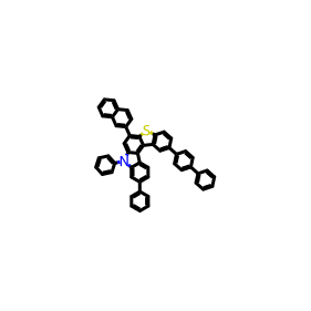 c1ccc(-c2ccc(-c3ccc4sc5c(-c6ccc7ccccc7c6)cc6c(c7ccc(-c8ccccc8)cc7n6-c6ccccc6)c5c4c3)cc2)cc1